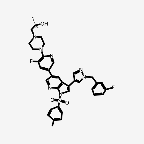 Cc1ccc(S(=O)(=O)n2cc(-c3cnn(Cc4cccc(F)c4)c3)c3cc(-c4cnc(N5CCN(C[C@H](C)O)CC5)c(F)c4)cnc32)cc1